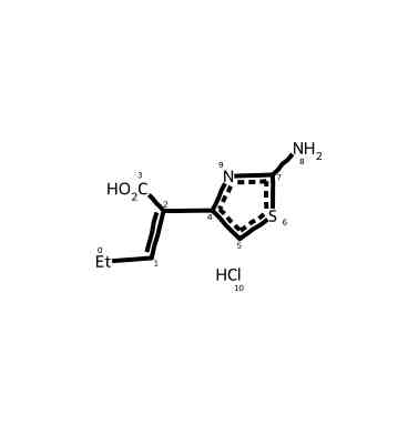 CCC=C(C(=O)O)c1csc(N)n1.Cl